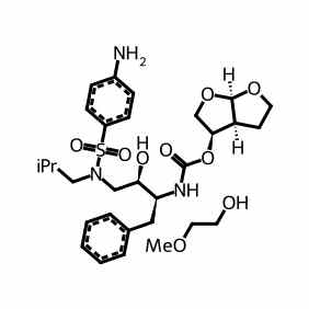 CC(C)CN(C[C@@H](O)[C@H](Cc1ccccc1)NC(=O)O[C@H]1CO[C@H]2OCC[C@H]21)S(=O)(=O)c1ccc(N)cc1.COCCO